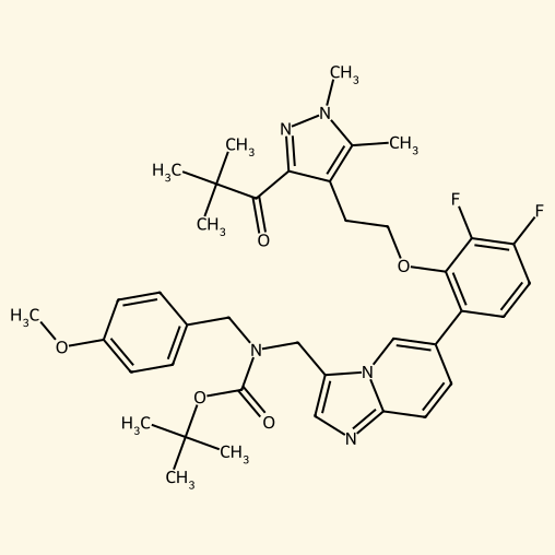 COc1ccc(CN(Cc2cnc3ccc(-c4ccc(F)c(F)c4OCCc4c(C(=O)C(C)(C)C)nn(C)c4C)cn23)C(=O)OC(C)(C)C)cc1